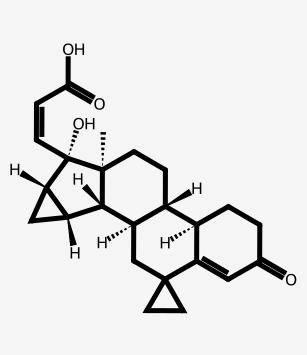 C[C@]12CC[C@H]3[C@@H](CC4(CC4)C4=CC(=O)CC[C@@H]43)[C@@H]1[C@@H]1C[C@@H]1[C@@]2(O)/C=C\C(=O)O